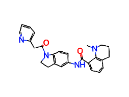 CN1CCCc2cccc(C(=O)Nc3ccc4c(c3)CCN4C(=O)Cc3ccccn3)c21